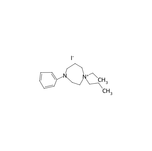 CCC[N+]1(CC)CCCN(c2ccccc2)CC1.[I-]